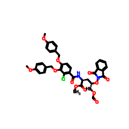 BOC(=O)[C@H](C[C@@H](BOC=O)ON1C(=O)c2ccccc2C1=O)NC(=O)c1ccc(OCc2ccc(OC)cc2)c(OCc2ccc(OC)cc2)c1Cl